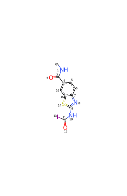 CNC(=O)c1ccc2nc(NC(=O)I)sc2c1